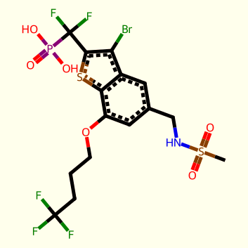 CS(=O)(=O)NCc1cc(OCCCC(F)(F)F)c2sc(C(F)(F)P(=O)(O)O)c(Br)c2c1